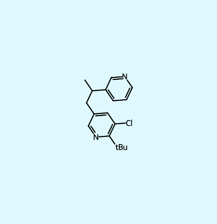 CC(Cc1cnc(C(C)(C)C)c(Cl)c1)c1cccnc1